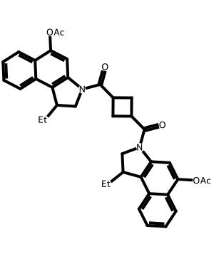 CCC1CN(C(=O)C2CC(C(=O)N3CC(CC)c4c3cc(OC(C)=O)c3ccccc43)C2)c2cc(OC(C)=O)c3ccccc3c21